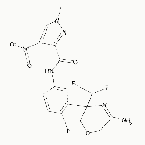 Cn1cc([N+](=O)[O-])c(C(=O)Nc2ccc(F)c(C3(C(F)F)COCC(N)=N3)c2)n1